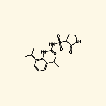 CC(C)c1cccc(C(C)C)c1NC(=O)NS(=O)(=O)C1CCNC1=O